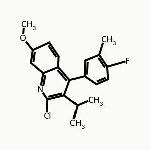 COc1ccc2c(-c3ccc(F)c(C)c3)c(C(C)C)c(Cl)nc2c1